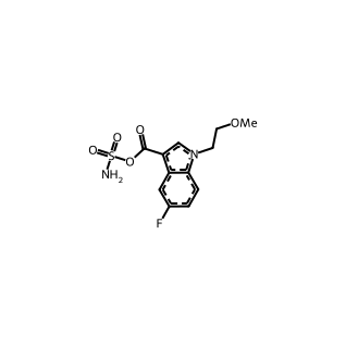 COCCn1cc(C(=O)OS(N)(=O)=O)c2cc(F)ccc21